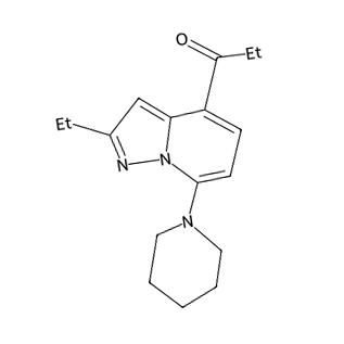 CCC(=O)c1ccc(N2CCCCC2)n2nc(CC)cc12